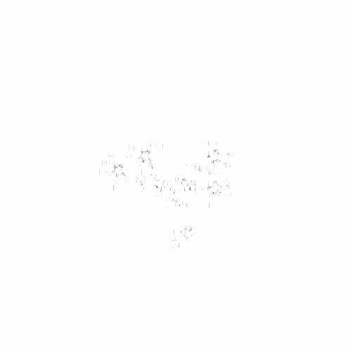 O=C[C@H](Cc1ccccc1)NC(=O)CCCCCNC(=O)CN(CC(=O)N[C@@H](CCC(=O)NCCO[C@@H]1O[C@H](CO)[C@@H](O)[C@H](O)[C@H]1O)C(=O)NCCO[C@@H]1O[C@H](CO)[C@@H](O)[C@H](O)[C@H]1O)CC(=O)N[C@@H](CCC(=O)NCCO[C@@H]1O[C@H](CO)[C@@H](O)[C@H](O)[C@H]1O)C(=O)NCCO[C@@H]1O[C@H](CO)[C@@H](O)[C@H](O)[C@H]1O